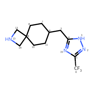 FC(F)(F)c1n[nH]c(CC2CCC3(CC2)CNC3)n1